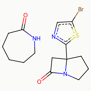 O=C1CC2(c3ncc(Br)s3)CCCN12.O=C1CCCCCN1